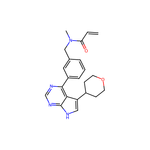 C=CC(=O)N(C)Cc1cccc(-c2ncnc3[nH]cc(C4CCOCC4)c23)c1